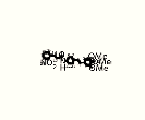 COc1cc(/C=C/c2ccc(NC(=O)/C=C/c3cccc([N+](=O)[O-])c3)cc2)cc(OC)c1OC